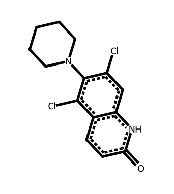 O=c1ccc2c(Cl)c(N3CCCCC3)c(Cl)cc2[nH]1